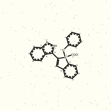 O=C([O-])[N+]1(Oc2ccccc2)C(c2[nH]nc3ccccc23)=Cc2ccccc21